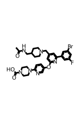 CC(=O)NCC1CCN(Cc2cc(Oc3ccc(N4CCN(C(=O)O)CC4)nc3)nc(-c3cc(F)cc(Br)c3)c2)CC1